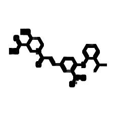 CC(C)c1ccccc1Sc1ccc(C=CC(=O)N2CCC(O)C(C(=O)O)C2)cc1[N+](=O)[O-]